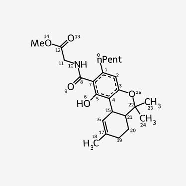 CCCCCc1cc2c(c(O)c1C(=O)NCC(=O)OC)C1C=C(C)CCC1C(C)(C)O2